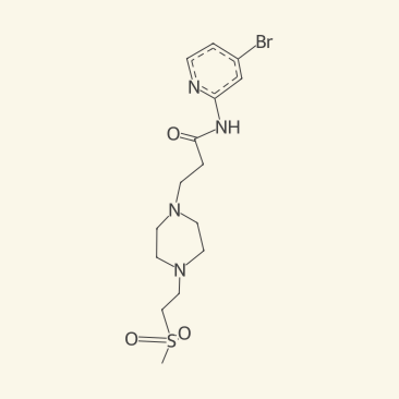 CS(=O)(=O)CCN1CCN(CCC(=O)Nc2cc(Br)ccn2)CC1